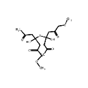 COCC(=O)CC(O)(CC(C)=O)OC(O)(CC(C)=O)CC(=O)COC